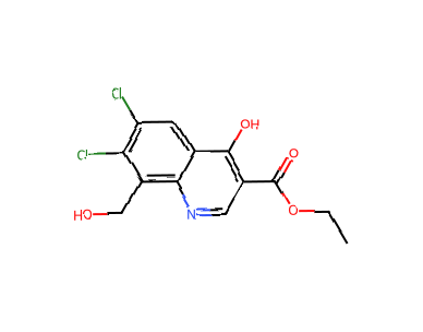 CCOC(=O)c1cnc2c(CO)c(Cl)c(Cl)cc2c1O